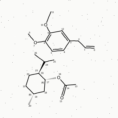 C=CCc1ccc(OC)c(OC)c1.CC(=O)O[C@@H]1C[C@H](C)CC[C@H]1C(C)C